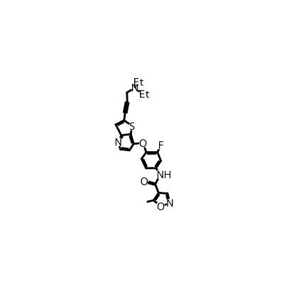 CCN(CC)CC#Cc1cc2nccc(Oc3ccc(NC(=O)c4cnoc4C)cc3F)c2s1